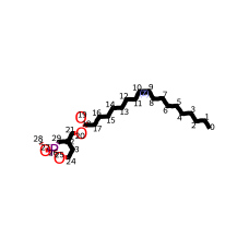 CCCCCCCCC/C=C\CCCCCCCC(=O)OCC1CCOP(OC)C1